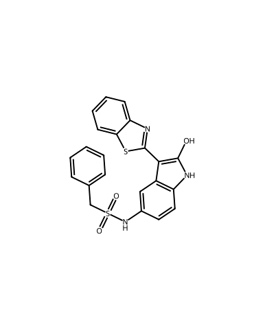 O=S(=O)(Cc1ccccc1)Nc1ccc2[nH]c(O)c(-c3nc4ccccc4s3)c2c1